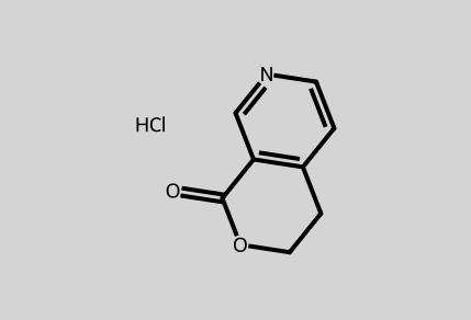 Cl.O=C1OCCc2ccncc21